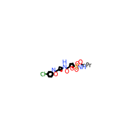 CCCC(=O)NS(=O)(=O)c1ccc(C(=O)NC23CC(c4nc5cc(Cl)ccc5o4)(C2)C3)o1